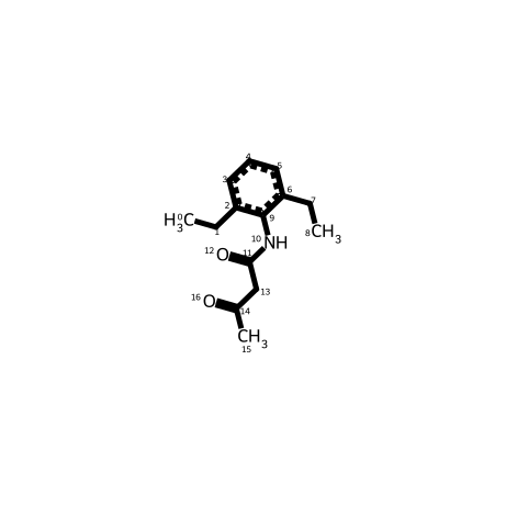 CCc1cccc(CC)c1NC(=O)CC(C)=O